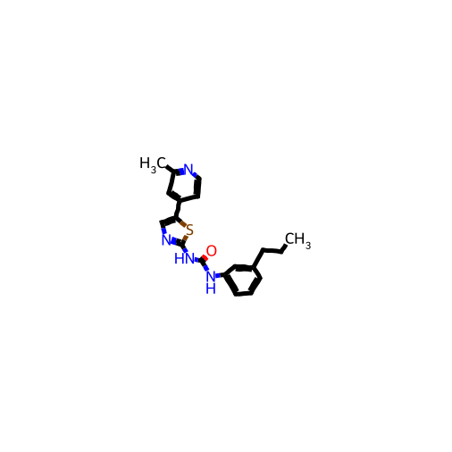 CCCc1cccc(NC(=O)Nc2ncc(-c3ccnc(C)c3)s2)c1